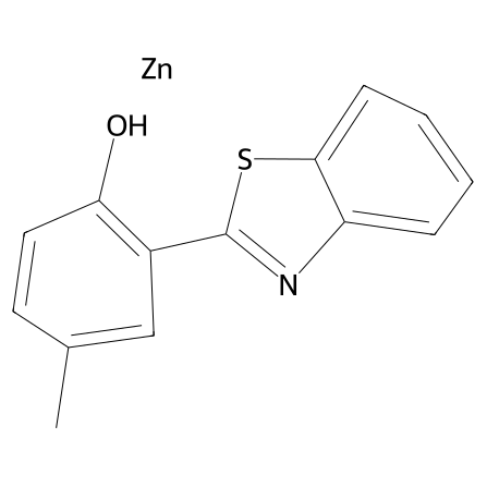 Cc1ccc(O)c(-c2nc3ccccc3s2)c1.[Zn]